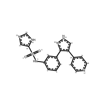 O=S(=O)(Nc1cccc(-c2n[nH]cc2-c2ccncc2)c1)c1cnc[nH]1